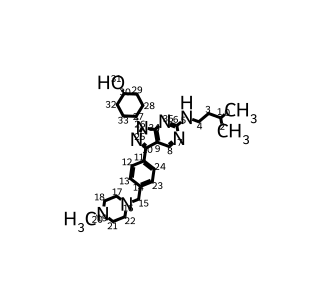 CC(C)CCNc1ncc2c(-c3ccc(CN4CCN(C)CC4)cc3)nn([C@H]3CC[C@H](O)CC3)c2n1